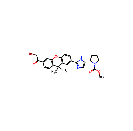 CC(C)(C)OC(=O)N1CCC[C@H]1c1cnc(-c2ccc3c(c2)C(C)(C)c2ccc(C(=O)CBr)cc2O3)[nH]1